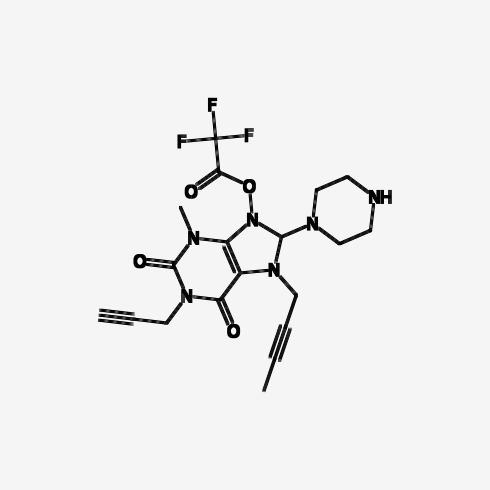 C#CCn1c(=O)c2c(n(C)c1=O)N(OC(=O)C(F)(F)F)C(N1CCNCC1)N2CC#CC